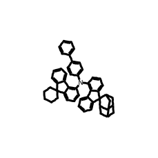 c1ccc(-c2ccc(N(c3cccc4c3-c3ccccc3C43CCCCC3)c3cccc4c3-c3ccccc3C43C4CC5CC(C4)CC3C5)cc2)cc1